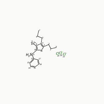 CCCC1=C(CCC)[C]([Ti+3])=C([SiH2]c2ccccc2)C1.[Cl-].[Cl-].[Cl-]